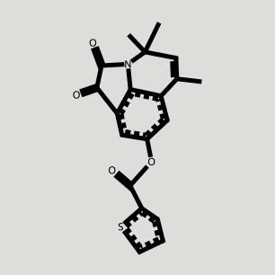 CC1=CC(C)(C)N2C(=O)C(=O)c3cc(OC(=O)c4cccs4)cc1c32